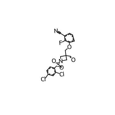 N#Cc1cccc(OCC2(C=O)CN(S(=O)(=O)c3ccc(Cl)cc3Cl)C2)c1F